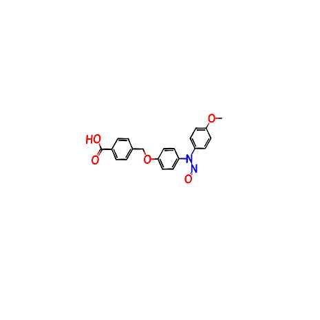 COc1ccc(N(N=O)c2ccc(OCc3ccc(C(=O)O)cc3)cc2)cc1